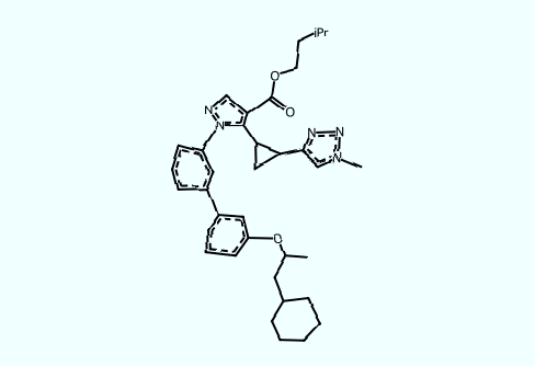 CC(C)CCOC(=O)c1cnn(-c2cccc(-c3cccc(OC(C)CC4CCCCC4)c3)c2)c1C1CC1c1cn(C)nn1